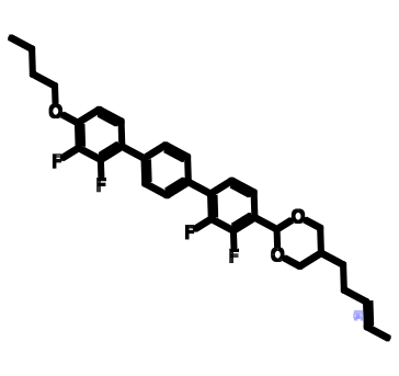 C/C=C/CCC1COC(c2ccc(-c3ccc(-c4ccc(OCCCC)c(F)c4F)cc3)c(F)c2F)OC1